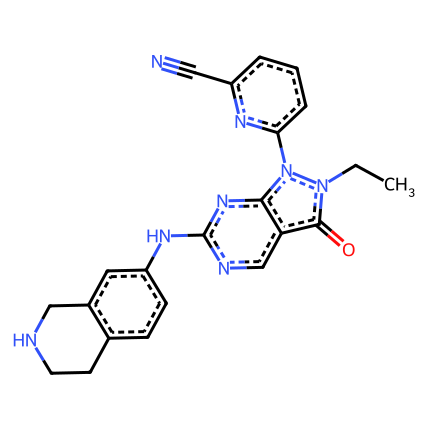 CCn1c(=O)c2cnc(Nc3ccc4c(c3)CNCC4)nc2n1-c1cccc(C#N)n1